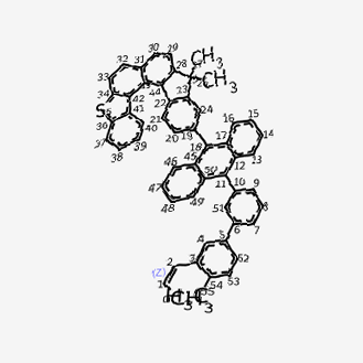 C/C=C\c1cc(-c2cccc(-c3c4ccccc4c(-c4ccc5c(c4)C(C)(C)c4ccc6ccc7sc8ccccc8c7c6c4-5)c4ccccc34)c2)ccc1C